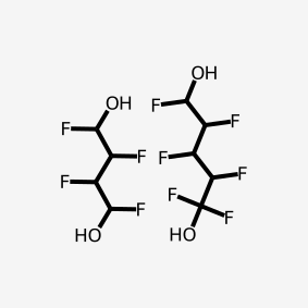 OC(F)C(F)C(F)C(F)C(O)(F)F.OC(F)C(F)C(F)C(O)F